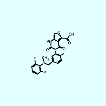 CN(Cc1ccc(F)c(-n2c(=O)[nH]c3csc(C(=O)O)c3c2=O)c1)c1c(F)cccc1F